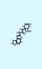 CSC1(NC(=O)Nc2nc3c4c(ccc3s2)OCC4)CCNCC1